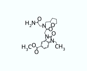 CCn1c(=O)n(CC(=O)N(CC(N)=O)CC2CCCO2)c2cc(C(=O)OC)ccc21